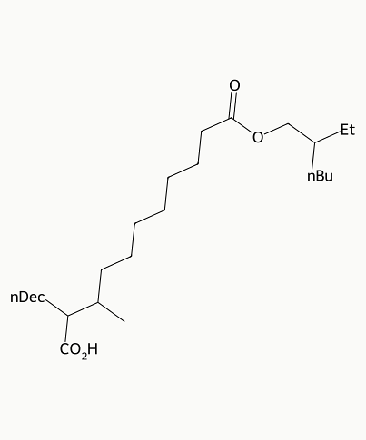 CCCCCCCCCCC(C(=O)O)C(C)CCCCCCCC(=O)OCC(CC)CCCC